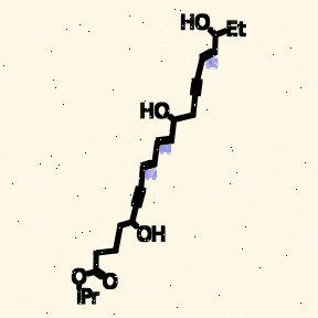 CCC(O)/C=C/C#CCC(O)/C=C/C=C/C#CC(O)CCCC(=O)OC(C)C